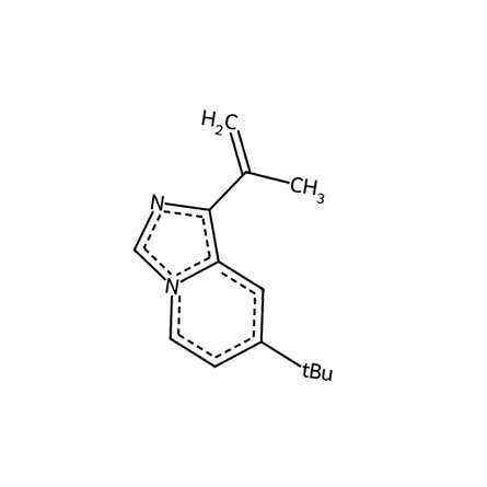 C=C(C)c1ncn2ccc(C(C)(C)C)cc12